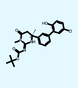 CN1C(=O)C[C@@](C)(c2cccc(-c3cc(Cl)ccc3O)c2)NC1=NC(=O)OC(C)(C)C